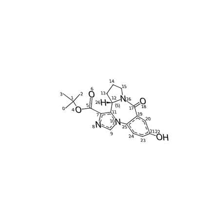 CC(C)(C)OC(=O)c1ncn2c1[C@@H]1CCCN1C(=O)c1cc(O)ccc1-2